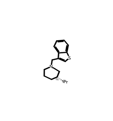 CC(C)[C@@H]1CCCN(Cc2csc3ccccc23)C1